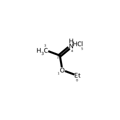 CCOC(C)=N.Cl